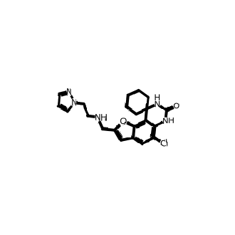 O=C1Nc2c(Cl)cc3cc(CNCCn4cccn4)oc3c2C2(CCCCC2)N1